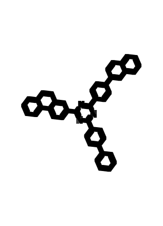 c1ccc(-c2ccc(-c3nc(-c4ccc(-c5ccc6ccccc6c5)cc4)nc(-c4ccc5c(ccc6ccccc65)c4)n3)cc2)cc1